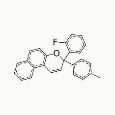 Cc1ccc(C2(c3ccccc3F)C=Cc3c(ccc4ccccc34)O2)cc1